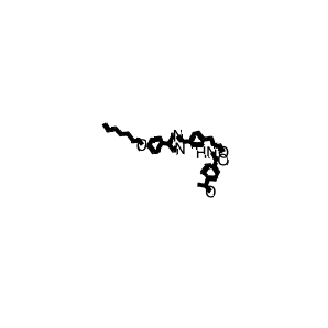 CCCCCCCOc1ccc(-c2cnc(-c3ccc(CC(C=O)NC(=O)c4ccc(C(C)=O)cc4)cc3)nc2)cc1